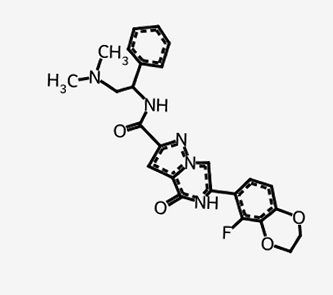 CN(C)CC(NC(=O)c1cc2c(=O)[nH]c(-c3ccc4c(c3F)OCCO4)cn2n1)c1ccccc1